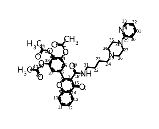 CC(=O)Oc1cc(-c2oc3ccccc3c(=O)c2C(=O)NCCCCN2CCN(c3ccccn3)CC2)cc(OC(C)=O)c1OC(C)=O